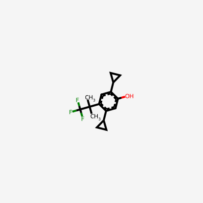 CC(C)(c1cc(C2CC2)c(O)cc1C1CC1)C(F)(F)F